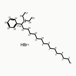 Br.CCCCCCCCCCCCCCCC(c1ccccc1)N(CC)CC